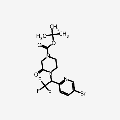 CC(C)(C)OC(=O)N1CCN(C(c2ccc(Br)cn2)C(F)(F)F)C(=O)C1